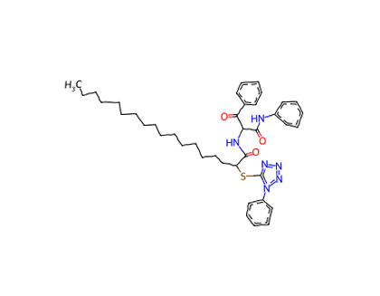 CCCCCCCCCCCCCCCCC(Sc1nnnn1-c1ccccc1)C(=O)NC(C(=O)Nc1ccccc1)C(=O)c1ccccc1